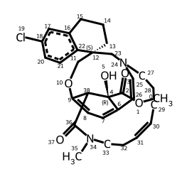 COC(=O)[C@]1(O)C2=CC=C3OC[C@]4(CCCc5cc(Cl)ccc54)CN(C=C2)CCCC=CCCN(C)C(=O)C31